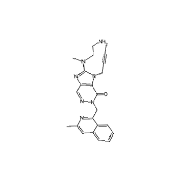 CC#CCn1c(N(C)CCN)nc2cnn(Cc3nc(C)cc4ccccc34)c(=O)c21